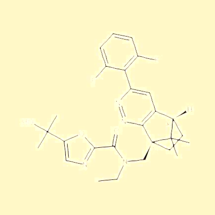 CCN(C[C@@]12CC[C@@H](c3cc(-c4c(F)cccc4F)nnc31)C2(C)C)C(=O)c1ncc(C(C)(C)O)o1